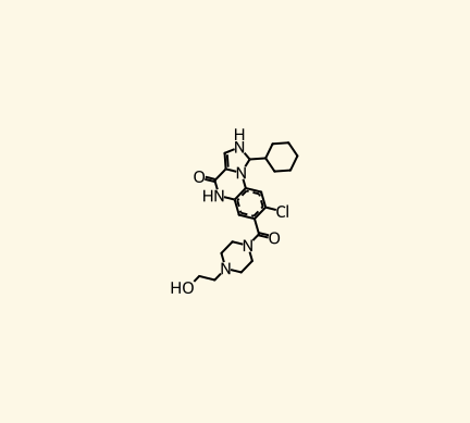 O=C1Nc2cc(C(=O)N3CCN(CCO)CC3)c(Cl)cc2N2C1=CNC2C1CCCCC1